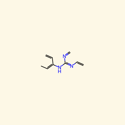 C=C/N=C(\N=C)N/C(C=C)=C/C